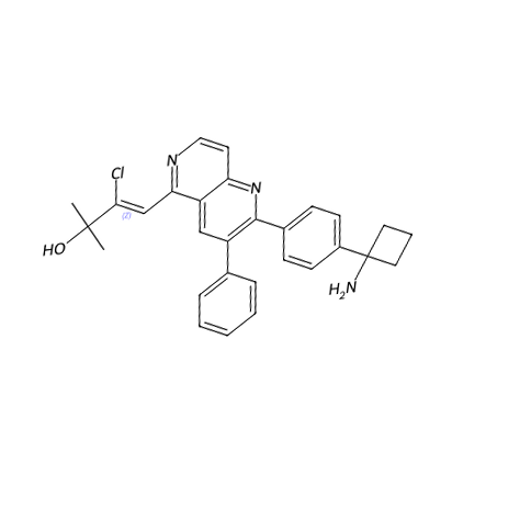 CC(C)(O)/C(Cl)=C/c1nccc2nc(-c3ccc(C4(N)CCC4)cc3)c(-c3ccccc3)cc12